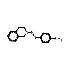 Cc1ccc(N=NN2CCc3ccccc3C2)cc1